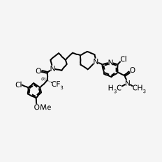 COc1cc(Cl)cc([C@H](C(=O)N2CCC(CC3CCN(c4ccc(C(=O)N(C)C)c(Cl)n4)CC3)CC2)C(F)(F)F)c1